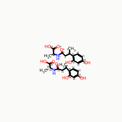 CC(CC(=O)N[C@@H](C)C(=O)O)c1ccc(O)cc1O.CC(CC(=O)N[C@H](C)C(=O)O)c1ccc(O)cc1O